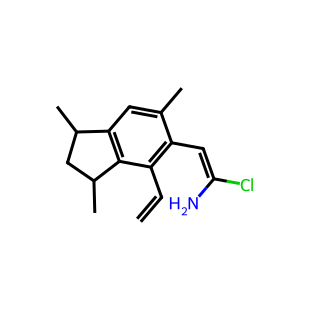 C=Cc1c(/C=C(\N)Cl)c(C)cc2c1C(C)CC2C